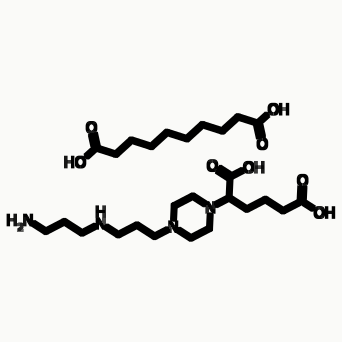 NCCCNCCCN1CCN(C(CCCC(=O)O)C(=O)O)CC1.O=C(O)CCCCCCCCC(=O)O